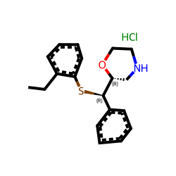 CCc1ccccc1S[C@H](c1ccccc1)[C@H]1CNCCO1.Cl